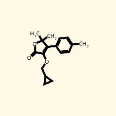 Cc1ccc(C2=C(OCC3CC3)C(=O)OC2(C)C)cc1